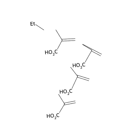 C=C(C)C(=O)O.C=C(C)C(=O)O.C=C(C)C(=O)O.C=C(C)C(=O)O.CCC